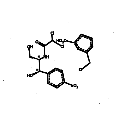 O=C(N[C@H](CO)[C@H](O)c1ccc([N+](=O)[O-])cc1)C(Cl)Cl.O=C(O)c1cccc(CCl)c1